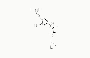 CCN(CC)CCOc1ccc(-c2nc(C)c(C(=O)NCCN3CCOCC3)s2)cc1C#N